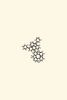 CC1(C)c2ccc3oc4ccccc4c3c2-c2c1cc(N(c1ccc(-c3ccccc3)cc1)c1cccc3c1c1ccccc1n3-c1ccccc1)c1oc3ccccc3c21